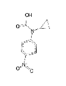 O=C(O)N(c1ccc([N+](=O)[O-])cc1)C1CC1